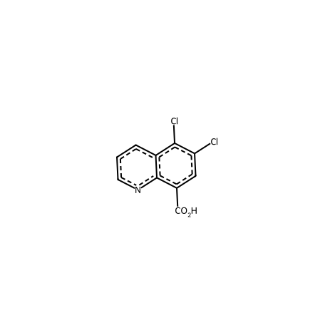 O=C(O)c1cc(Cl)c(Cl)c2cccnc12